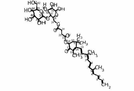 C=C/C=C/C=C(C)/C=C/C=C(C)/C=C/C1=C(C)C(=O)C(OC(=O)CCC(=O)OCC2OC(O)C(O)C(O)C2OC2OC(CO)C(O)C(O)C2O)CC1(C)C